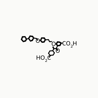 C=C(C(=O)c1cc(C(=O)O)ccc1OCCCc1ccc(OCc2ccc(-c3ccccc3)cc2)cc1)C1CCC(C(=O)O)CC1